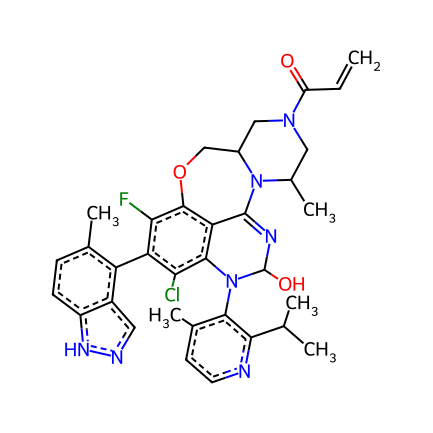 C=CC(=O)N1CC(C)N2C3=NC(O)N(c4c(C)ccnc4C(C)C)c4c(Cl)c(-c5c(C)ccc6[nH]ncc56)c(F)c(c43)OCC2C1